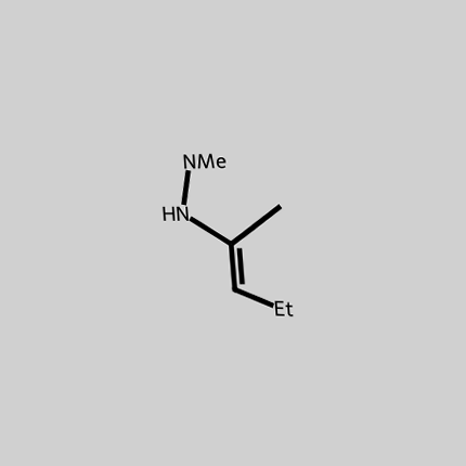 CC/C=C(\C)NNC